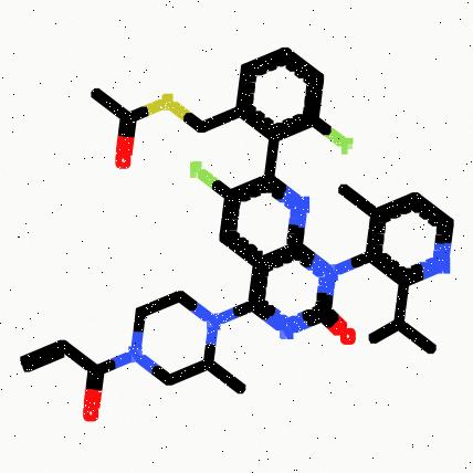 C=CC(=O)N1CCN(c2nc(=O)n(-c3c(C)ccnc3C(C)C)c3nc(-c4c(F)cccc4CSC(C)=O)c(F)cc23)C(C)C1